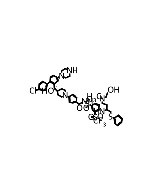 CN(CCO)CCC(CSc1ccccc1)Nc1ccc(S(=O)(=O)NC(=O)c2ccc(N3CCC([C@H](O)c4cc(N5CCNCC5)ccc4-c4ccc(Cl)cc4)CC3)cc2)cc1S(=O)(=O)C(F)(F)F